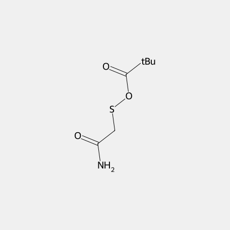 CC(C)(C)C(=O)OSCC(N)=O